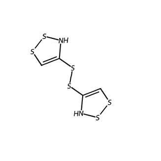 C1=C(SSC2=CSSN2)NSS1